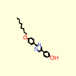 CCCCCCCCOc1ccc(-c2ncc(-c3ccc(O)cc3)cn2)cc1